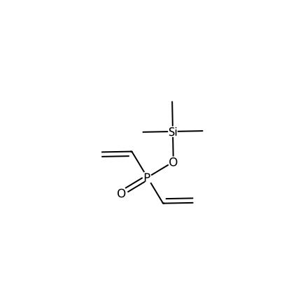 C=CP(=O)(C=C)O[Si](C)(C)C